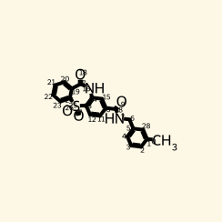 Cc1cccc(CNC(=O)c2ccc3c(c2)NC(=O)c2ccccc2S3(=O)=O)c1